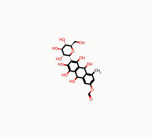 Cc1cc(OC=O)cc2c1C(O)c1c(O)c([C@H]3O[C@H](CO)[C@@H](O)[C@H](O)[C@H]3O)c(O)c(O)c1C2O